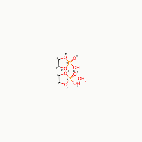 O.O=P1(O)OCCO1.O=P1(O)OCCO1